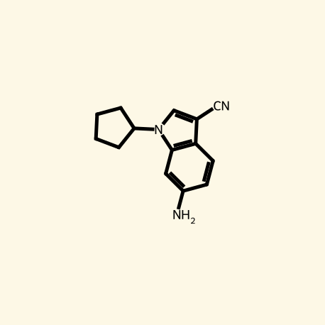 N#Cc1cn(C2CCCC2)c2cc(N)ccc12